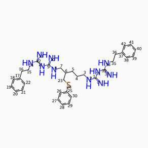 N=C(NCCCC(CNC(=N)NC(=N)NCCc1ccccc1)CSc1ccccc1)NC(=N)NCCc1ccccc1